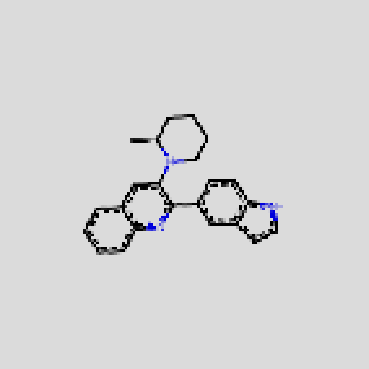 C[C@H]1CCCCN1c1cc2ccccc2nc1-c1ccc2[nH]ccc2c1